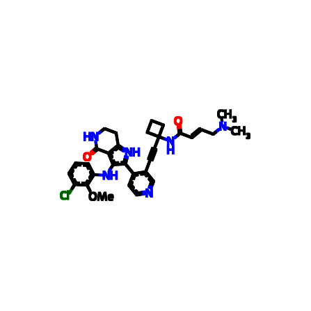 COc1c(Cl)cccc1Nc1c(-c2ccncc2C#CC2(NC(=O)/C=C/CN(C)C)CCC2)[nH]c2c1C(=O)NCC2